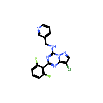 Fc1cccc(F)c1-c1nc(NCc2cccnc2)n2ncc(Cl)c2n1